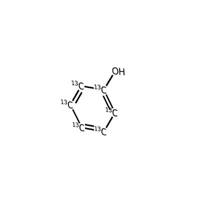 O[13c]1[13cH][13cH][13cH][13cH][13cH]1